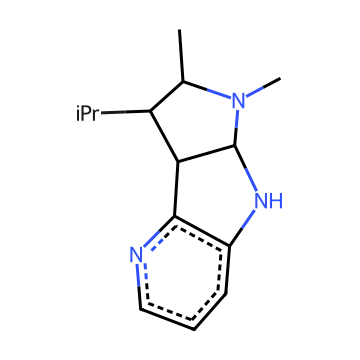 CC(C)C1C2c3ncccc3NC2N(C)C1C